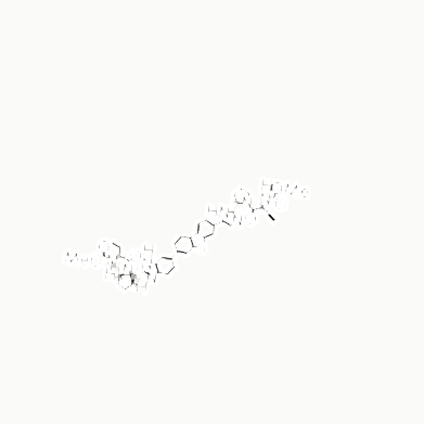 C#C[C@H](NC(=O)OC)C(=O)N1CCC[C@H]1c1ncc(-c2ccc3c(c2)sc2cc(-c4ccc5nc([C@@H]6[C@H]7CC[C@H](C7)N6C(=O)[C@H](C=C)NC(=O)OC)[nH]c5c4)ccc23)[nH]1